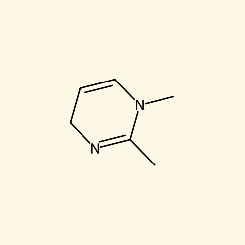 CC1=NCC=CN1C